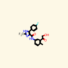 Cc1ccc(NC(=O)c2nc(C(F)(F)F)[nH]c2-c2ccc(F)cc2)cc1C(=O)CO